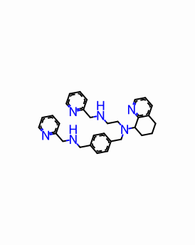 c1ccc(CNCCN(Cc2ccc(CNCc3ccccn3)cc2)C2CCCc3cccnc32)nc1